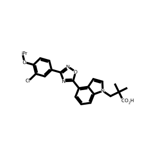 CC(C)Oc1ccc(-c2noc(-c3cccc4c3ccn4CC(C)(C)C(=O)O)n2)cc1Cl